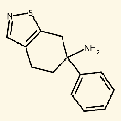 NC1(c2ccccc2)CCc2cnsc2C1